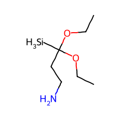 CCOC([SiH3])(CCN)OCC